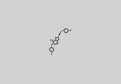 O=c1c2sc(C#CCc3ccc(F)cc3)cc2ncn1Cc1ccc(F)cc1